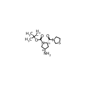 CC(C)(C)OC(=O)N1C[C@H](N)C[C@H]1C(=O)N1CCSC1